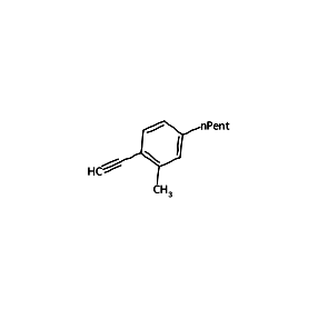 C#Cc1ccc(CCCCC)cc1C